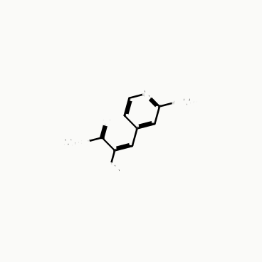 COC(=O)C(C#N)=Cc1ccnc(OC)c1